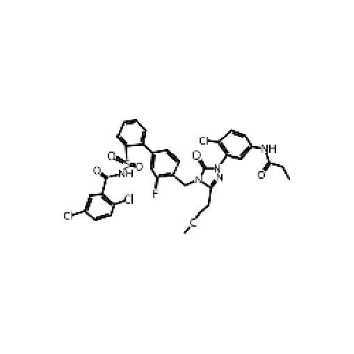 CCCCc1nn(-c2cc(NC(=O)CC)ccc2Cl)c(=O)n1Cc1ccc(-c2ccccc2S(=O)(=O)NC(=O)c2cc(Cl)ccc2Cl)cc1F